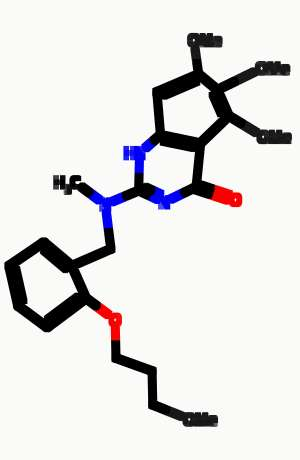 COCCCOc1ccccc1CN(C)c1nc(=O)c2c(OC)c(OC)c(OC)cc2[nH]1